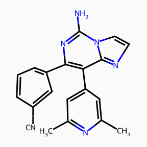 Cc1cc(-c2c(-c3cccc(C#N)c3)nc(N)n3ccnc23)cc(C)n1